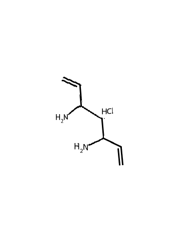 C=CC(N)[CH]C(N)C=C.Cl